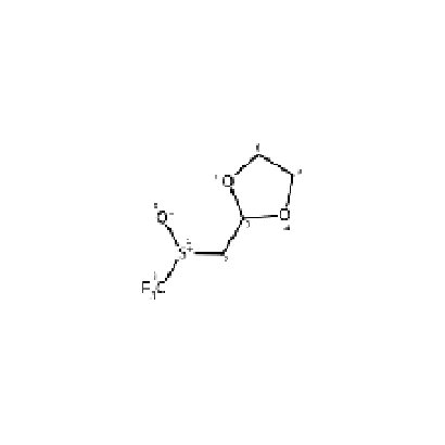 [O-][S+](CC1OCCO1)C(F)(F)F